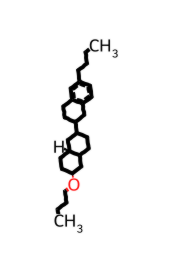 CCCCO[C@@H]1CC[C@@H]2CC(C3CCc4cc(CCCC)ccc4C3)CCC2C1